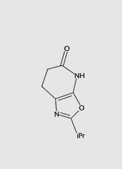 CC(C)c1nc2c(o1)NC(=O)CC2